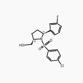 O=S(=O)(c1ccc(Cl)cc1)N1[C@@H](CO)CC[C@H]1c1cccc(F)c1